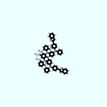 Cc1cc2c3c(c1)N(c1c(C)cccc1C)c1cc(N(c4ccccc4)c4ccc(-c5cc6ccccc6o5)cc4)ccc1B3c1ccc(N(c3ccccc3)c3ccc(-c4cc5ccccc5o4)cc3)cc1N2c1c(C)cccc1C